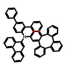 c1ccc(-c2ccc(N(c3ccc4c(c3)-c3ccccc3-c3ccccc3-c3ccccc3-4)c3cc4ccccc4c4ccccc34)c(-c3ccccc3)c2)cc1